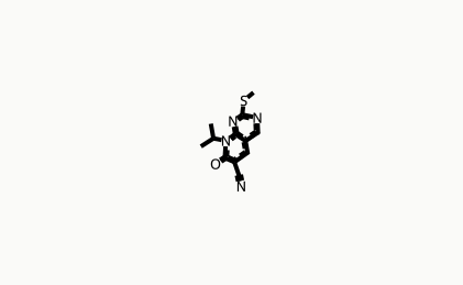 CSc1ncc2cc(C#N)c(=O)n(C(C)C)c2n1